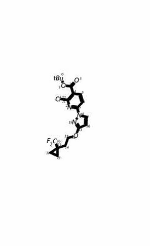 CC(C)(C)OC(=O)c1ccc(-n2ccc(OCCC3(C(F)(F)F)CC3)n2)nc1Cl